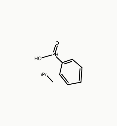 CCCC.O=[PH](O)c1ccccc1